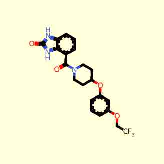 O=C(c1cccc2[nH]c(=O)[nH]c12)N1CCC(Oc2cccc(OCC(F)(F)F)c2)CC1